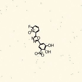 O=[N+]([O-])c1cc(-c2nnc(-c3cccc(F)[n+]3[O-])o2)cc(O)c1O